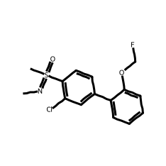 CN=S(C)(=O)c1ccc(-c2ccccc2OCF)cc1Cl